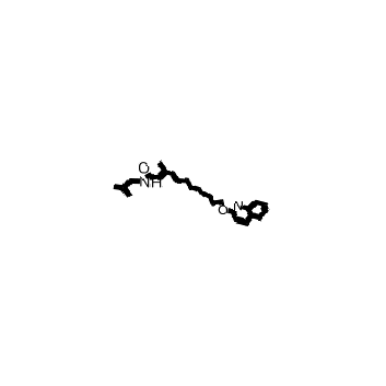 CC(C=CCCCCCCCOc1ccc2ccccc2n1)=CC(=O)NCC(C)C